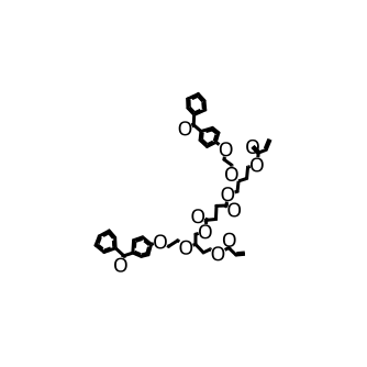 C=CC(=O)OCCC(COC(=O)CCC(=O)OCC(CCOC(=O)C=C)OCCOc1ccc(C(=O)c2ccccc2)cc1)OCCOc1ccc(C(=O)c2ccccc2)cc1